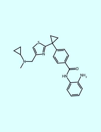 CN(Cc1csc(C2(c3ccc(C(=O)Nc4ccccc4N)cc3)CC2)n1)C1CC1